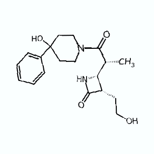 C[C@@H](C(=O)N1CCC(O)(c2ccccc2)CC1)[C@H]1NC(=O)[C@H]1CCO